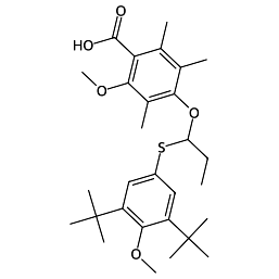 CCC(Oc1c(C)c(C)c(C(=O)O)c(OC)c1C)Sc1cc(C(C)(C)C)c(OC)c(C(C)(C)C)c1